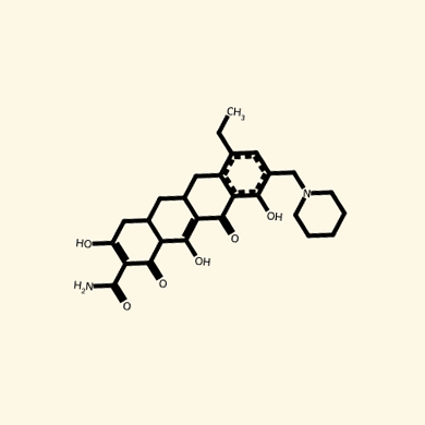 CCc1cc(CN2CCCCC2)c(O)c2c1CC1CC3CC(O)=C(C(N)=O)C(=O)C3C(O)=C1C2=O